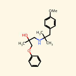 COc1ccc(CC(C)(C)NCC(C)(O)COc2ccccc2)cc1